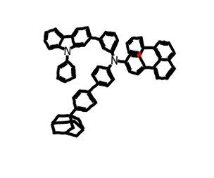 c1ccc(-c2cccc3cccc(-c4ccc(N(c5ccc(-c6ccc(C78CC9CC(CC(C9)C7)C8)cc6)cc5)c5cccc(-c6ccc7c8ccccc8n(-c8ccccc8)c7c6)c5)cc4)c23)cc1